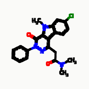 CN(C)C(=O)Cc1nn(-c2ccccc2)c(=O)c2c1c1ccc(Cl)cc1n2C